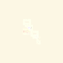 CCC[C@H]1CC[C@H](/C=C/C2CCCCC2)CC1.CO